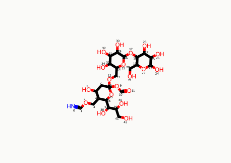 N=COCC1C(O)CC(OC=O)(OCC2OC(OC3C(CO)OC(O)C(O)C3O)C(O)C(O)C2O)OC1C(O)C(O)CO